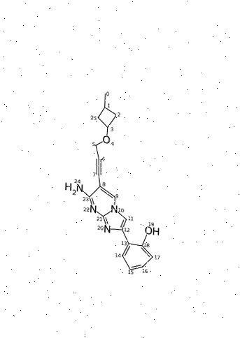 CC1CC(OCC#Cc2cn3cc(-c4ccccc4O)nc3nc2N)C1